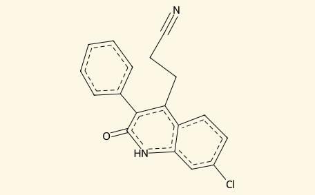 N#CCCc1c(-c2ccccc2)c(=O)[nH]c2cc(Cl)ccc12